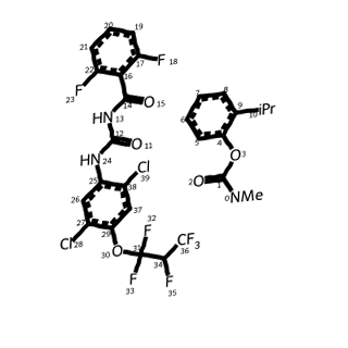 CNC(=O)Oc1ccccc1C(C)C.O=C(NC(=O)c1c(F)cccc1F)Nc1cc(Cl)c(OC(F)(F)C(F)C(F)(F)F)cc1Cl